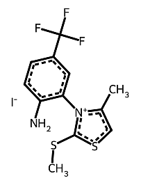 CSc1scc(C)[n+]1-c1cc(C(F)(F)F)ccc1N.[I-]